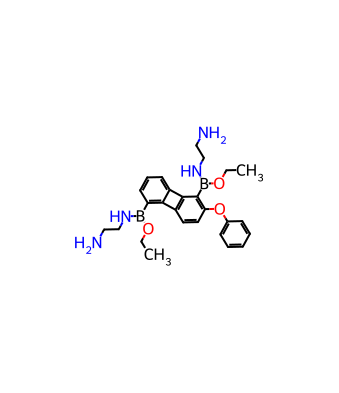 CCOB(NCCN)c1cccc2c1-c1ccc(Oc3ccccc3)c(B(NCCN)OCC)c1-2